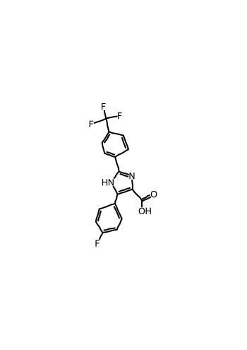 O=C(O)c1nc(-c2ccc(C(F)(F)F)cc2)[nH]c1-c1ccc(F)cc1